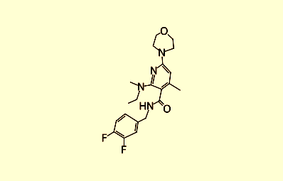 CCN(C)c1nc(N2CCOCC2)cc(C)c1C(=O)NCc1ccc(F)c(F)c1